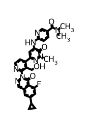 CN(C)C(=O)c1ccc(Nc2cc(-c3ccnc(-n4ncc5cc(C6CC6)cc(F)c5c4=O)c3CO)nn(C)c2=O)nc1